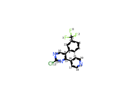 FC(F)(F)c1cccc(-c2cnc(Cl)nc2-c2ccncc2)c1